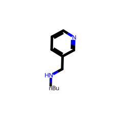 CCCCNCc1cccnc1